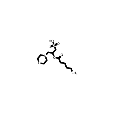 CCCCCC(=O)OC(CN1CCOCC1)CS(=O)(=O)O